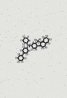 CC1(C)c2cc(N(c3ccccc3)c3ccc(-c4ccccc4)cc3)ccc2-c2ccc3ccccc3c21